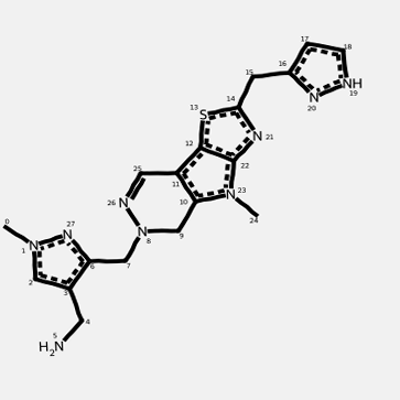 Cn1cc(CN)c(CN2Cc3c(c4sc(Cc5cc[nH]n5)nc4n3C)C=N2)n1